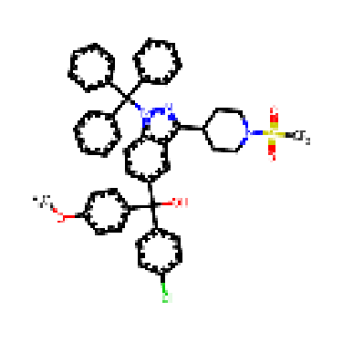 O=S(=O)(N1CCC(c2nn(C(c3ccccc3)(c3ccccc3)c3ccccc3)c3ccc(C(O)(c4ccc(Cl)cc4)c4ccc(OC(F)(F)F)cc4)cc23)CC1)C(F)(F)F